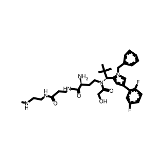 CNCCNC(=O)CCNC(=O)[C@@H](N)CCN(C(=O)CO)[C@@H](c1cc(-c2cc(F)ccc2F)cn1Cc1ccccc1)C(C)(C)C